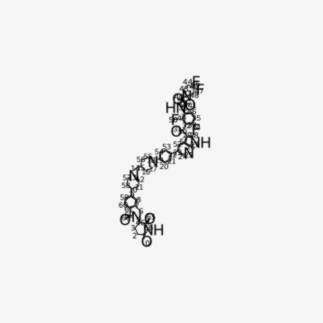 O=C1CC[C@H](N2Cc3cc(C4CCN(CC5CCN(c6ccc(-c7cnc8[nH]cc(C(=O)c9c(F)ccc(NS(=O)(=O)N%10CCC(F)(F)C%10)c9F)c8c7)cc6)CC5)CC4)ccc3C2=O)C(=O)N1